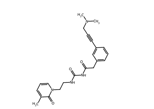 Cc1cccn(CCNC(=O)NC(=O)Cc2cccc(C#CCN(C)C)c2)c1=O